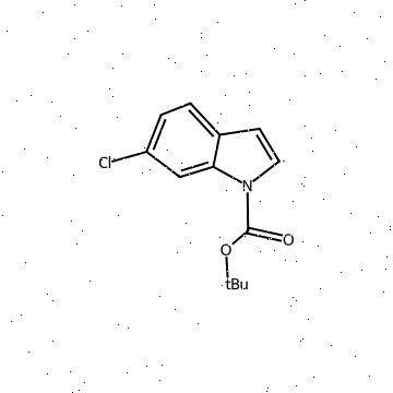 CC(C)(C)OC(=O)n1[c]cc2ccc(Cl)cc21